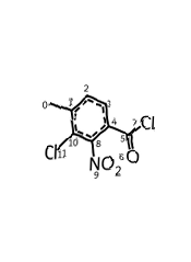 Cc1ccc(C(=O)Cl)c([N+](=O)[O-])c1Cl